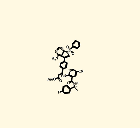 COC(=O)CC(Nc1ncc(C#N)cc1C(=O)N[C@@H](C)c1ccc(F)cc1)c1ccc(-c2cn(S(=O)(=O)c3ccccc3)c3ncnc(N)c23)cc1